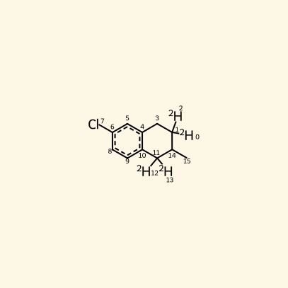 [2H]C1([2H])Cc2cc(Cl)ccc2C([2H])([2H])C1C